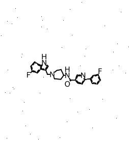 O=C(NC1CCN(Cc2c[nH]c3ccc(F)cc23)CC1)c1ccc(-c2cccc(F)c2)nc1